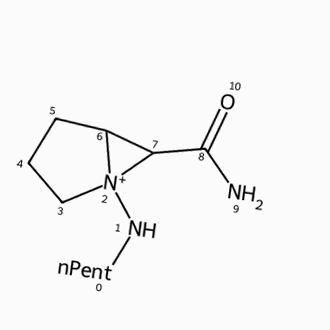 CCCCCN[N+]12CCCC1C2C(N)=O